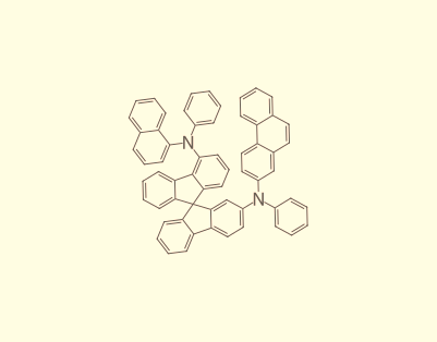 c1ccc(N(c2ccc3c(c2)C2(c4ccccc4-3)c3ccccc3-c3c(N(c4ccccc4)c4cccc5ccccc45)cccc32)c2ccc3c(ccc4ccccc43)c2)cc1